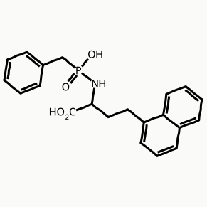 O=C(O)C(CCc1cccc2ccccc12)NP(=O)(O)Cc1ccccc1